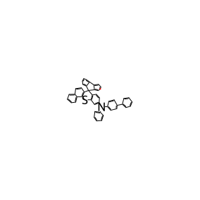 c1ccc(-c2ccc(N(c3ccccc3)c3ccc4c(c3)Sc3c(ccc5ccccc35)C43c4ccccc4-c4ccccc43)cc2)cc1